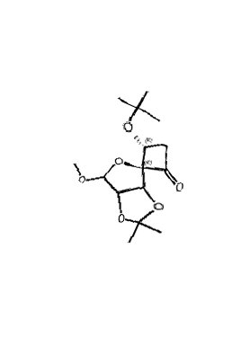 COC1O[C@@]2(C(=O)C[C@H]2OC(C)(C)C)C2OC(C)(C)OC12